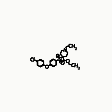 CCOC(=O)C1(S(=O)(=O)c2ccc(Oc3ccc(Cl)cc3)cc2)CCN(CC)CC1